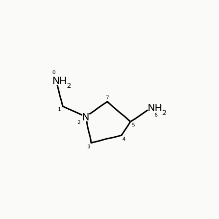 NCN1CCC(N)C1